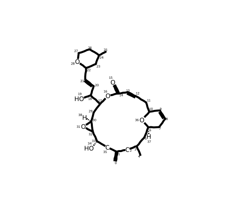 C=C1CC(C)C[C@@H]2CC=CC(C/C=C\C(=O)OC(C(O)/C=C/C3CC(C)CCO3)C[C@@H]3OC3[C@@H](O)C1)O2